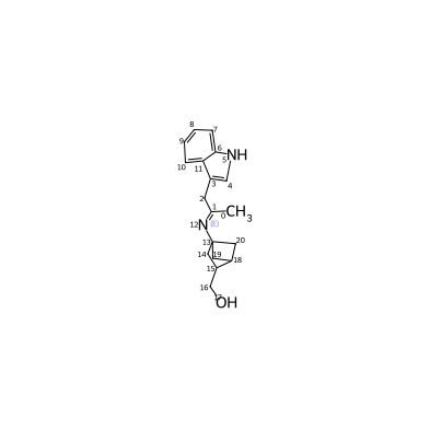 C/C(Cc1c[nH]c2ccccc12)=N\C12CC(CO)C(C1)C2